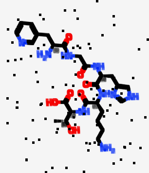 C[C@@H](O)[C@H](NC(=O)[C@H](CCCCN)NC(=O)[C@H](Cc1c[nH]cn1)NC(=O)CNC(=O)[C@@H](N)Cc1cccnc1)C(=O)O